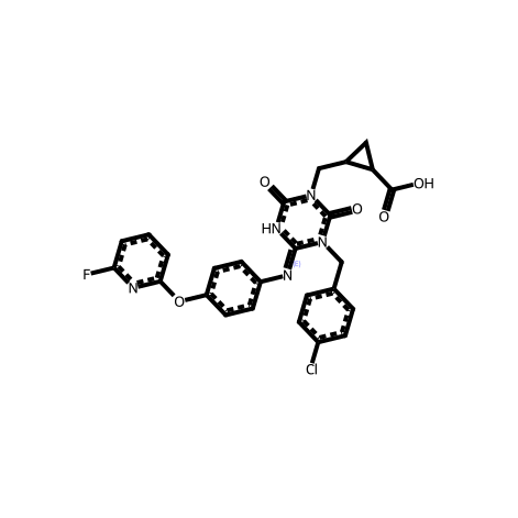 O=C(O)C1CC1Cn1c(=O)[nH]/c(=N\c2ccc(Oc3cccc(F)n3)cc2)n(Cc2ccc(Cl)cc2)c1=O